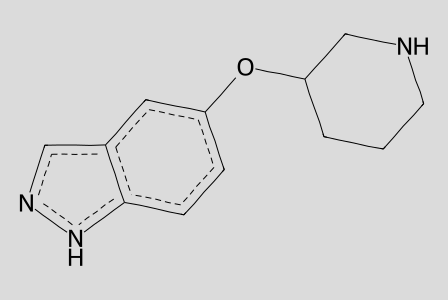 c1cc2[nH]ncc2cc1OC1CCCNC1